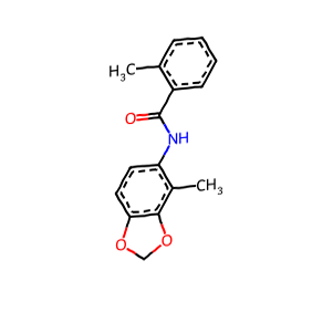 Cc1ccccc1C(=O)Nc1ccc2c(c1C)OCO2